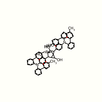 CCCCc1ccc(-c2ccccc2N(c2ccc(C3C4CC5(C(O)C35)C(c3ccc(N(c5ccccc5-c5ccc(C)cc5)c5ccccc5-c5ccc(CCCC)cc5)cc3O)C4O)c(O)c2)c2ccccc2-c2ccc(C)cc2)cc1